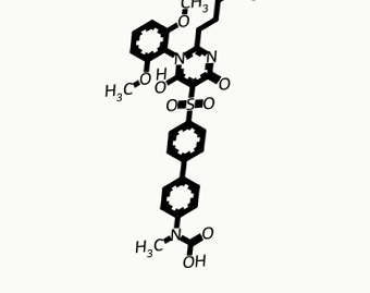 CCCCc1nc(=O)c(S(=O)(=O)c2ccc(-c3ccc(N(C)C(=O)O)cc3)cc2)c(O)n1-c1c(OC)cccc1OC